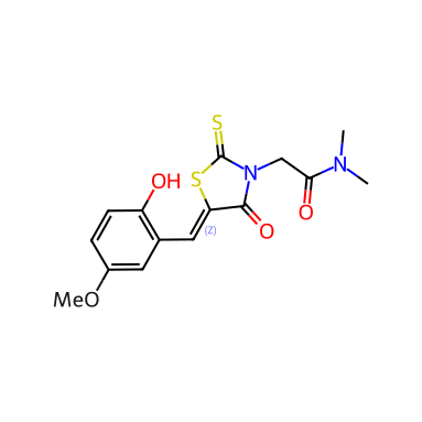 COc1ccc(O)c(/C=C2\SC(=S)N(CC(=O)N(C)C)C2=O)c1